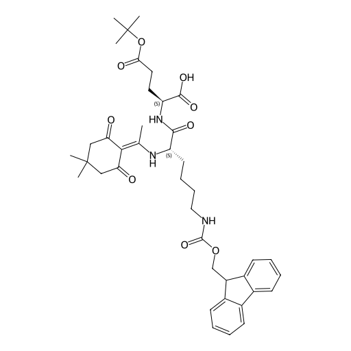 CC(N[C@@H](CCCCNC(=O)OCC1c2ccccc2-c2ccccc21)C(=O)N[C@@H](CCC(=O)OC(C)(C)C)C(=O)O)=C1C(=O)CC(C)(C)CC1=O